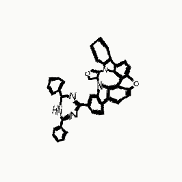 C1=CC2c3ccc4oc5ccc6c7ccc(C8=NC(c9ccccc9)NC(c9ccccc9)=N8)cc7n7c6c5c4c3N(C3=COCC37)C2C=C1